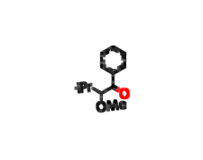 COC([C](C)C)C(=O)c1ccccc1